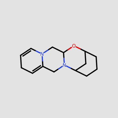 C1=CN2CC3OC4CCCC(C4)N3CC2=CC1